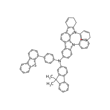 CC1(C)c2ccccc2-c2ccc(N(c3ccc(-c4cccc5c4sc4ccccc45)cc3)c3ccc4c(c3)c3ccc5c6c(n(C7=CCCC=C7)c5c3n4-c3ccccc3)CCC=C6)cc21